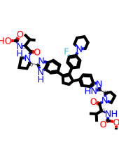 COC(=O)N[C@H](C(=O)N1CCC[C@H]1c1nc2ccc(C3CCC(c4ccc5nc([C@@H]6CCCN6C(=O)[C@@H](NC(=O)O)C(C)C)[nH]c5c4)=C3c3ccc(N4CCCCC4)c(F)c3)cc2[nH]1)C(C)C